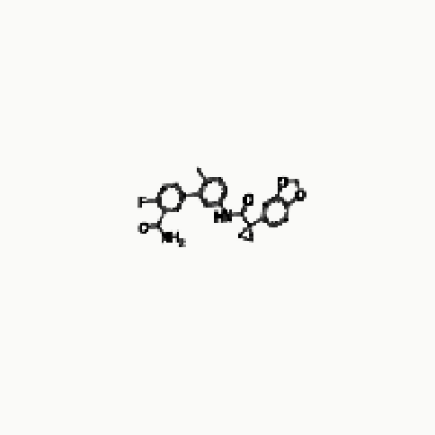 Cc1ccc(NC(=O)C2(c3ccc4c(c3)OCO4)CC2)cc1-c1ccc(F)c(C(N)=O)c1